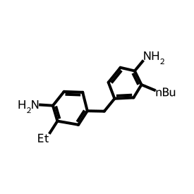 CCCCc1cc(Cc2ccc(N)c(CC)c2)ccc1N